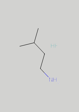 CC(C)CCN.F